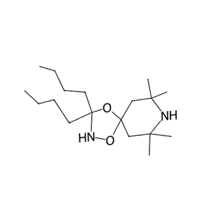 CCCCC1(CCCC)NOC2(CC(C)(C)NC(C)(C)C2)O1